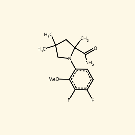 COc1c(N2CC(C)(C)CC2(C)C(N)=O)ccc(F)c1F